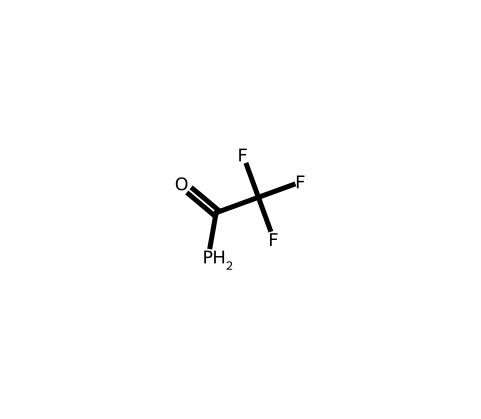 O=C(P)C(F)(F)F